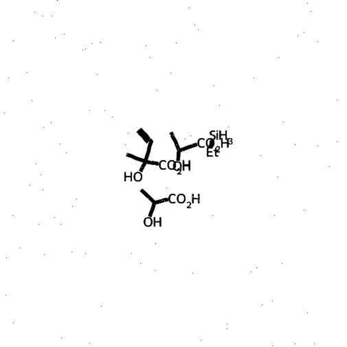 C=CC(C)(O)C(=O)O.CC(O)C(=O)O.CC(O)C(=O)O.CC[SiH3]